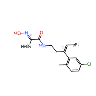 CCC/C=C(/CCNC(=O)/C(=N/O)NC)c1cc(Cl)ccc1C